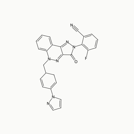 N#Cc1cccc(F)c1-n1nc2c3ccccc3n(CC3C=CC(n4cccn4)=CC3)nc-2c1=O